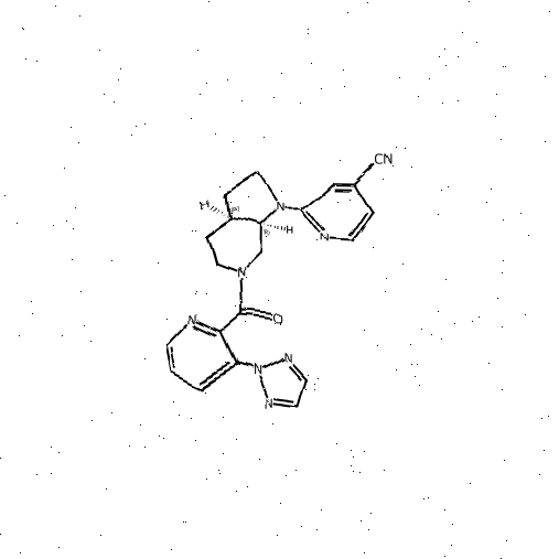 N#Cc1ccnc(N2CC[C@@H]3CCN(C(=O)c4ncccc4-n4nccn4)C[C@@H]32)c1